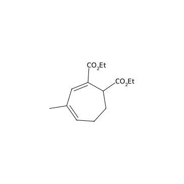 CCOC(=O)C1=CC(C)=CCCC1C(=O)OCC